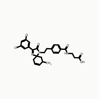 CC1C=CCC2(C1)N=C(c1cc(Cl)cc(Cl)c1)C(=O)N2CCc1ccc(C(=O)NCCC(=O)O)cc1